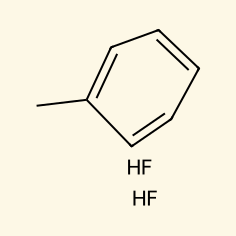 Cc1ccccc1.F.F